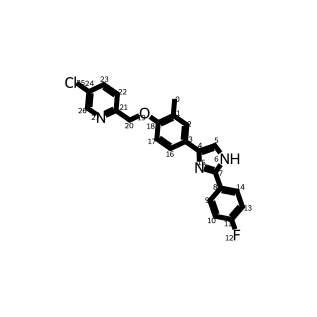 Cc1cc(-c2c[nH]c(-c3ccc(F)cc3)n2)ccc1OCc1ccc(Cl)cn1